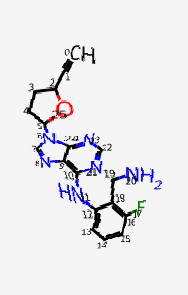 C#CC1CCC(n2cnc3c(Nc4cccc(F)c4CN)ncnc32)O1